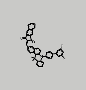 CC1(C)c2ccccc2N(c2ccc(-c3cc(F)cc(F)c3)cc2)c2ccc3cc(C=C4C(=O)c5cc6ccccc6cc5C4=O)ccc3c21